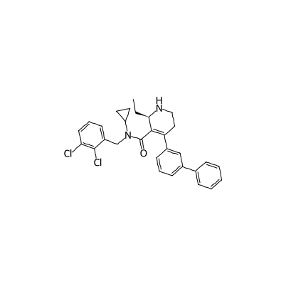 CC[C@H]1NCCC(c2cccc(-c3ccccc3)c2)=C1C(=O)N(Cc1cccc(Cl)c1Cl)C1CC1